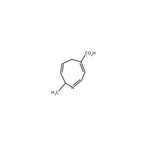 CC1C=CC/C(C(=O)O)=C\C=N/1